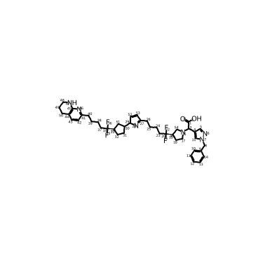 O=C(O)C(c1cnn(Cc2ccccc2)c1)N1CC[C@@H](C(F)(F)CCCCC2=NC(C3CC[C@@H](C(F)(F)CCCCc4ccc5c(n4)NCCC5)C3)C=C2)C1